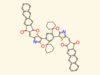 O=C1C(=Cc2nc3c(s2)-c2cc4c(cc2C2(CCCCC2)O3)-c2sc(C=C3C(=O)c5cc6cc7ccccc7cc6cc5C3=O)nc2OC42CCCCC2)C(=O)c2cc3cc4ccccc4cc3cc21